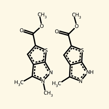 COC(=O)c1cc2c(C)n(C)nc2s1.COC(=O)c1cc2c(C)n[nH]c2s1